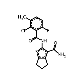 Cc1ccc(F)c(C(=O)Nc2sc3c(c2C(N)=O)CCC3)c1Cl